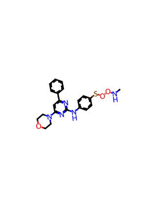 CNOOSc1ccc(Nc2nc(-c3ccccc3)cc(N3CCOCC3)n2)cc1